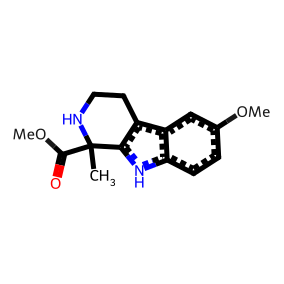 COC(=O)C1(C)NCCc2c1[nH]c1ccc(OC)cc21